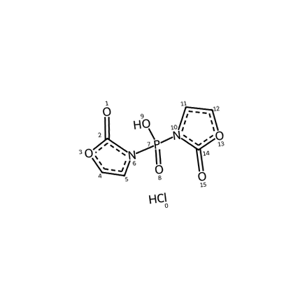 Cl.O=c1occn1P(=O)(O)n1ccoc1=O